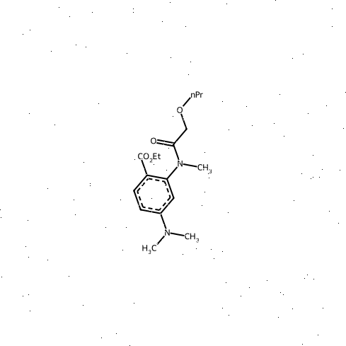 CCCOCC(=O)N(C)c1cc(N(C)C)ccc1C(=O)OCC